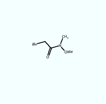 CCC(C)CC(=O)N(C)OC